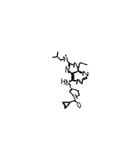 CCn1c(N(C)CC(C)C)nc2c(N[C@H]3CCN(C(=O)C4CC4)C3)ncnc21